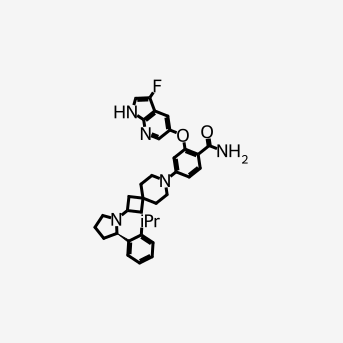 CC(C)c1ccccc1[C@H]1CCCN1C1CC2(CCN(c3ccc(C(N)=O)c(Oc4cnc5[nH]cc(F)c5c4)c3)CC2)C1